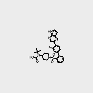 CC(C)(C)N(C(=O)O)C1CCN(S(=O)(=O)c2ccccc2-c2ccc(-c3cnc4[nH]ccc4n3)c(F)c2)CC1